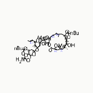 C/C=C/[C@H]1O[C@@](O)([C@@H](C)[C@H](O)[C@H](C)[C@H]2OC(=O)/C(OC)=C/C(C)=C/[C@@H](C)[C@@H](O)[C@@H](C)[C@@H](OC(=O)CCCC)[C@H](C)C/C(C)=C/C=C/[C@@H]2OC)C[C@@H](O[C@@H]2C[C@H](OC(=O)CCCC)[C@@H](OC(N)=O)[C@H](C)O2)[C@@H]1C